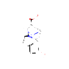 COC(=O)C1CC2(C)C3Cc4ccc(O)cc4C2(C)CC1N3C